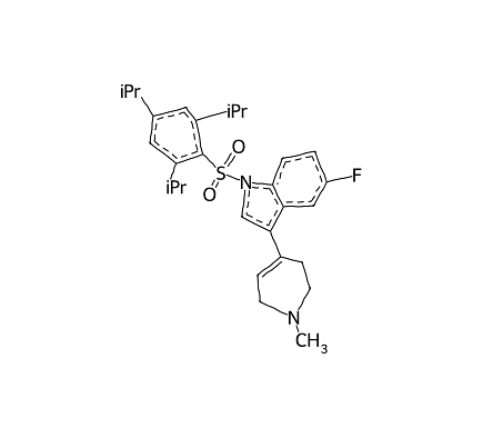 CC(C)c1cc(C(C)C)c(S(=O)(=O)n2cc(C3=CCN(C)CC3)c3cc(F)ccc32)c(C(C)C)c1